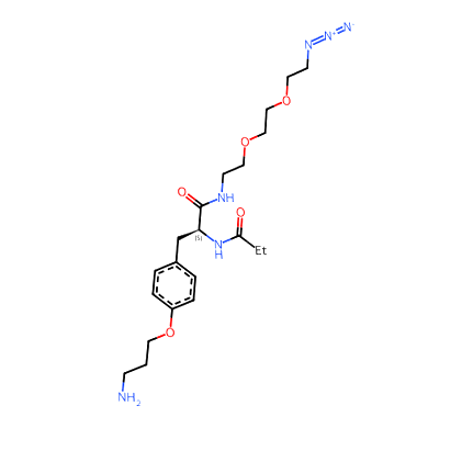 CCC(=O)N[C@@H](Cc1ccc(OCCCN)cc1)C(=O)NCCOCCOCCN=[N+]=[N-]